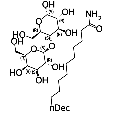 CCCCCCCCCCCCCCCCCCCC(N)=O.OC[C@H]1O[C@@H](O[C@H]2[C@H](O)[C@@H](O)[C@@H](O)O[C@@H]2CO)[C@H](O)[C@@H](O)[C@H]1O